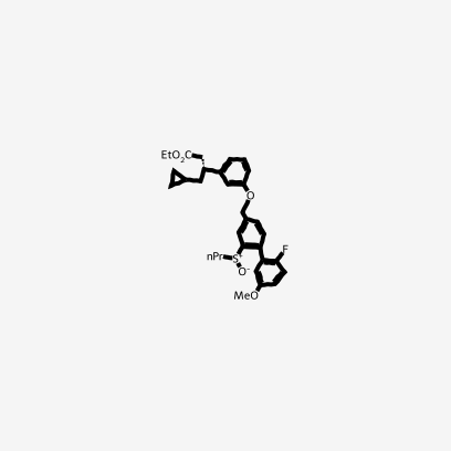 CCC[S+]([O-])c1cc(COc2cccc([C@@H](CC(=O)OCC)CC3CC3)c2)ccc1-c1cc(OC)ccc1F